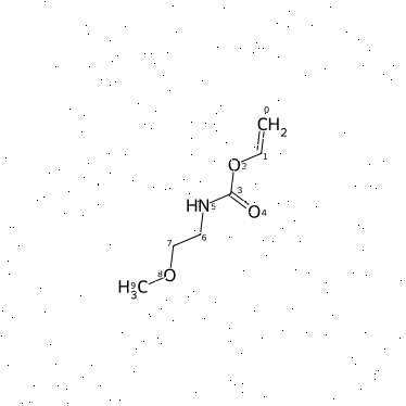 C=COC(=O)NCCOC